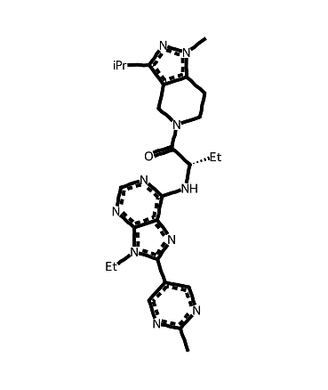 CC[C@H](Nc1ncnc2c1nc(-c1cnc(C)nc1)n2CC)C(=O)N1CCc2c(c(C(C)C)nn2C)C1